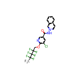 O=C(N[n+]1ccc2ccccc2c1)c1cnc(OCC(F)(F)C(F)(F)C(F)(F)C(F)(F)F)c(Cl)c1